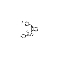 CC(C)c1ccc(Cn2cc(C(=O)C(=O)Nc3ccncc3)c3ccccc32)cc1